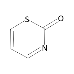 O=c1ncccs1